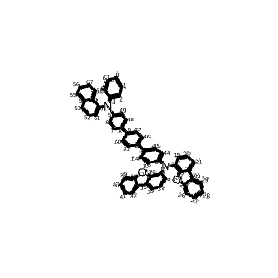 c1ccc(N(c2ccc(-c3ccc(-c4ccc(N(c5cccc6c5oc5ccccc56)c5cccc6c5oc5ccccc56)cc4)cc3)cc2)c2cccc3ccccc23)cc1